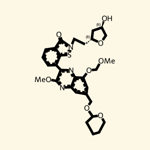 COCOc1cc(COC2CCCCO2)cc2nc(OC)c(-c3cccc4c(=O)n(CC[C@@H]5C[C@@H](O)CO5)sc34)nc12